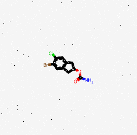 NC(=O)OC1Cc2cc(Cl)c(Br)cc2C1